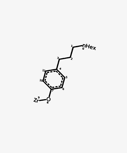 CCCCCCCCCc1ccc([O][Zr])cc1